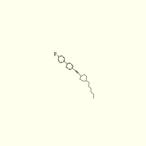 CCCCCCC1CCC(C#Cc2ccc(-c3ccc(F)cc3)cc2)CC1